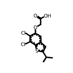 CC(C)c1cc2cc(OCC(=O)O)c(Cl)c(Cl)c2s1